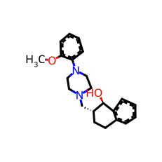 COc1ccccc1N1CCN(C[C@H]2CCc3ccccc3[C@@H]2O)CC1